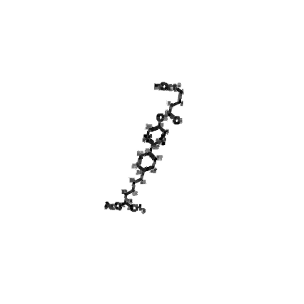 CCCCCCCC/C=C\CC(=O)Oc1cnc(-c2ccc(CCCCC(C)OC(C)=O)cc2)nc1